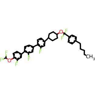 CCCCCc1ccc(C(F)(F)OC2CCC(c3ccc(-c4ccc(-c5ccc(OC(F)F)c(F)c5)c(F)c4)c(F)c3)CC2)cc1